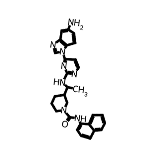 CC(Nc1nccc(-n2cnc3cc(N)ccc32)n1)C1CCCN(C(=O)Nc2cccc3ccccc23)C1